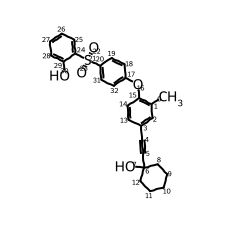 Cc1cc(C#CC2(O)CCCCC2)ccc1Oc1ccc(S(=O)(=O)c2ccccc2O)cc1